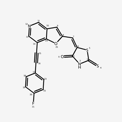 O=C1NC(=S)SC1=Cc1cc2cncc(C#Cc3ccc(F)cc3)c2o1